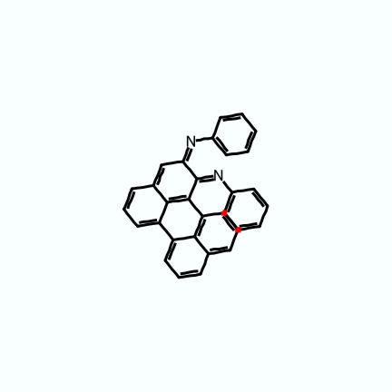 c1ccc(N=c2cc3cccc4c5cccc6cccc(c(c2=Nc2ccccc2)c34)c65)cc1